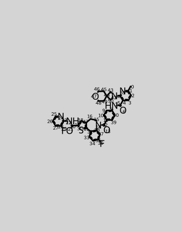 Cc1ccc(C(=O)Nc2ccc(C(=O)N3CCc4cc(C(=O)Nc5ncccc5F)sc4-c4ccc(F)cc43)cc2)c(N2CC3(CCOCC3)C2)n1